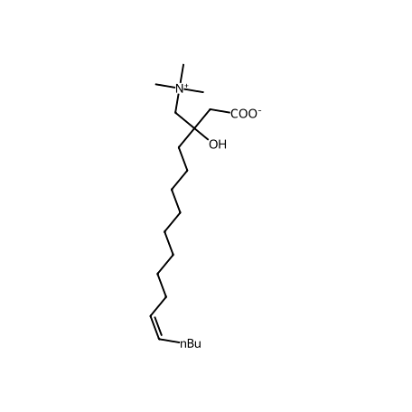 CCCC/C=C\CCCCCCCCC(O)(CC(=O)[O-])C[N+](C)(C)C